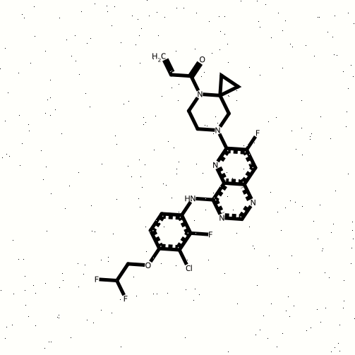 C=CC(=O)N1CCN(c2nc3c(Nc4ccc(OCC(F)F)c(Cl)c4F)ncnc3cc2F)CC12CC2